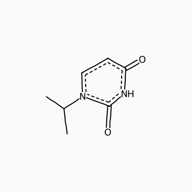 CC(C)n1ccc(=O)[nH]c1=O